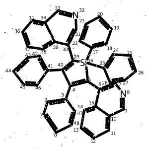 c1ccc(C2=C(c3cncc4ccccc34)[Si](c3ccccc3)(c3ccccc3)C(c3cncc4ccccc34)=C2c2ccccc2)cc1